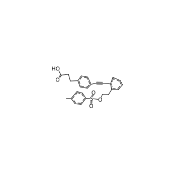 Cc1ccc(S(=O)(=O)OCCc2ccccc2C#Cc2ccc(CCC(=O)O)cc2)cc1